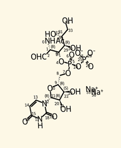 CC(=O)N[C@@H](C=O)[C@@H](OP(=O)(OC[C@H]1O[C@@H](n2ccc(=O)[nH]c2=O)[C@H](O)[C@@H]1O)OP(=O)([O-])[O-])[C@H](O)[C@H](O)CO.[Na+].[Na+]